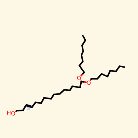 CCCCCCCCOC(CCCCCCCCCC/C=C/CCO)OCCCCCCCC